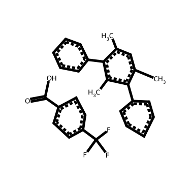 Cc1cc(C)c(-c2ccccc2)c(C)c1-c1ccccc1.O=C(O)c1ccc(C(F)(F)F)cc1